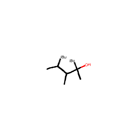 CCC(C)C(C)C(C)C(C)(O)C(C)CC